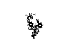 C[C@@H](CCOc1ccc(-c2nc3c(OC4(C)CC4)ncnc3n2Cc2ccccc2C#N)c(Cl)c1)C(=O)O